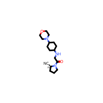 N#C[C@@H]1CCCN1C(=O)CNC1CCC(N2CCOCC2)CC1